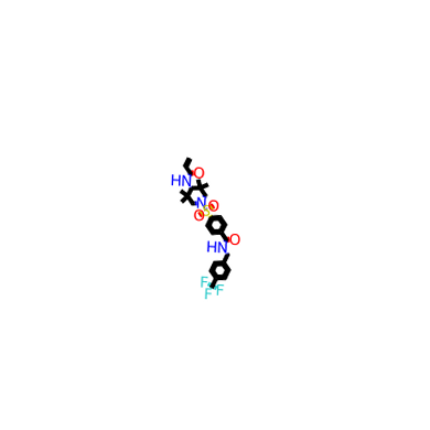 C=CC(=O)NC1C(C)(C)CN(S(=O)(=O)c2ccc(C(=O)NCc3ccc(C(F)(F)F)cc3)cc2)CC1(C)C